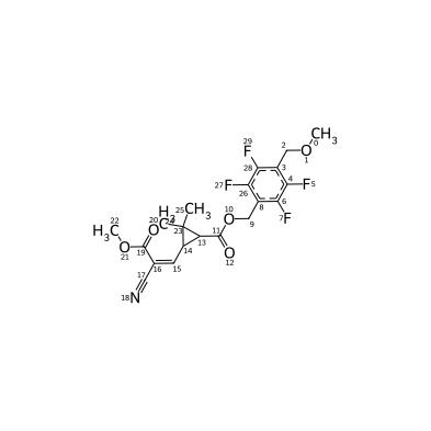 COCc1c(F)c(F)c(COC(=O)C2C(C=C(C#N)C(=O)OC)C2(C)C)c(F)c1F